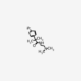 CC(C)c1ccc(C(C)(C)C(=O)NCCN(C)C)cn1